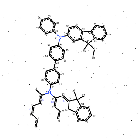 C=C/C=C\C=C(/C)N(C(=C/C=C)/C=C1\Cc2ccccc2C1(C)C)c1ccc(-c2ccc(N(c3ccccc3)c3ccc4c(c3)C(C)(CC)c3ccccc3-4)cc2)cc1